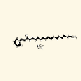 CCCCCCCCCCCCCCCCCC(=O)OCN1C=CC=CC1.Cl.Cl